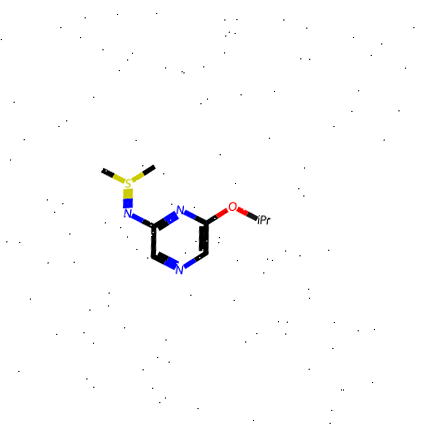 CC(C)Oc1cncc(N=S(C)C)n1